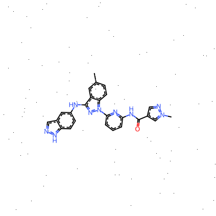 Cc1ccc2c(c1)c(Nc1ccc3[nH]ncc3c1)nn2-c1cccc(NC(=O)c2cnn(C)c2)n1